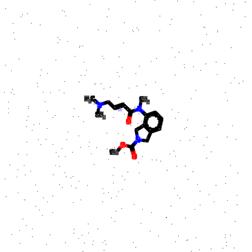 CN(C)C/C=C/C(=O)N(C)c1cccc2c1CN(C(=O)OC(C)(C)C)C2